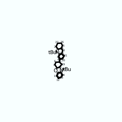 CC(C)(C)N1c2cc(C3CCC4Oc5ccccc5N(C(C)(C)C)C4C3)ccc2CC2CCCCC21